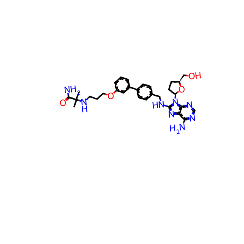 CC(C)(NCCCOc1cccc(-c2ccc(CNc3nc4c(N)ncnc4n3[C@H]3CC[C@@H](CO)O3)cc2)c1)C(N)=O